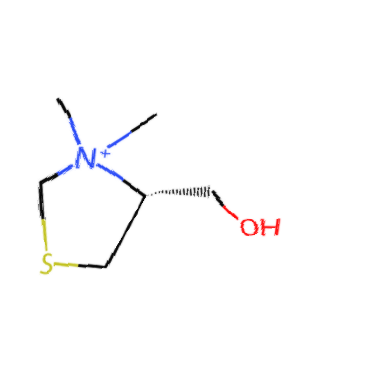 C[N+]1(C)CSC[C@H]1CO